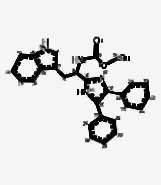 CC(C)(C)OC(=O)NC(Cc1c[nH]c2ccccc12)c1nc(-c2ccccc2)c(-c2ccccc2)[nH]1